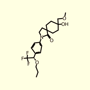 CCCO[C@H](c1ccc(N2CCC3(CCC(O)(COC)CC3)C2=O)cc1)C(F)(F)F